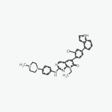 CCn1c(=O)c(-c2ccc(-c3cccc4[nH]ccc34)cc2Cl)cc2cnc(Nc3ccc(N4CCN(C)CC4)cc3)nc21